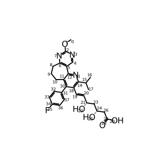 COc1ncc2c(n1)CCCc1c-2nc(C(C)C)c(/C=C/[C@@H](O)C[C@@H](O)CC(=O)O)c1-c1ccc(F)cc1